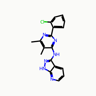 Cc1nc(-c2ccccc2Cl)nc(Nc2n[nH]c3ncccc23)c1C